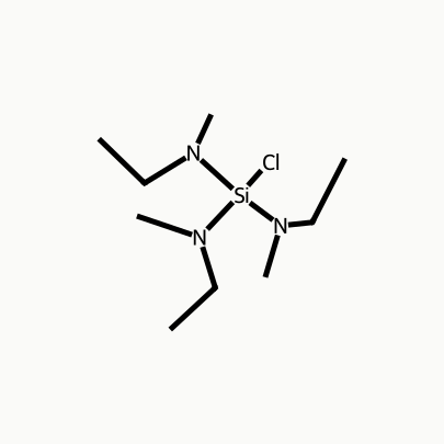 CCN(C)[Si](Cl)(N(C)CC)N(C)CC